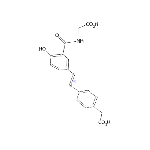 O=C(O)CNC(=O)c1cc(/N=N/c2ccc(CC(=O)O)cc2)ccc1O